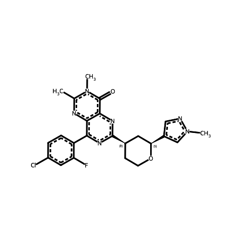 Cc1nc2c(-c3ccc(Cl)cc3F)nc([C@@H]3CCO[C@H](c4cnn(C)c4)C3)nc2c(=O)n1C